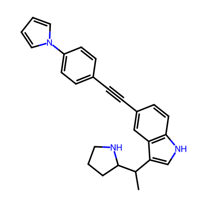 CC(c1c[nH]c2ccc(C#Cc3ccc(-n4cccc4)cc3)cc12)C1CCCN1